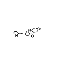 CCC1(F)CCc2nc3cc(C#Cc4ccccn4)ccc3c(=O)n2CC1